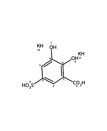 O=C(O)c1cc(S(=O)(=O)O)cc(O)c1O.[KH].[KH]